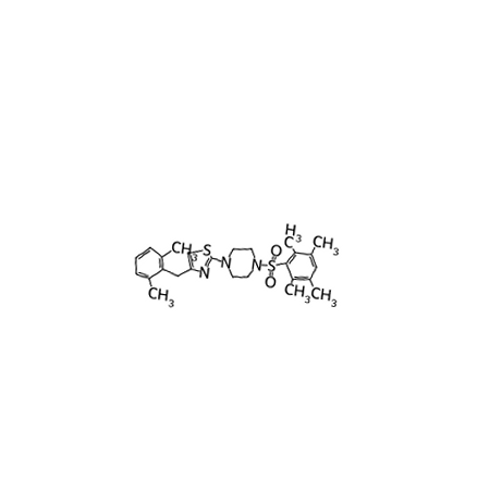 Cc1cc(C)c(C)c(S(=O)(=O)N2CCN(c3nc(Cc4c(C)cccc4C)cs3)CC2)c1C